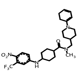 CN(CC1CCN(C2=CC=CCC2)CC1)C(=O)C1CCC(Nc2ccc([N+](=O)[O-])c(C(F)(F)F)c2)CC1